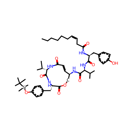 CCCCCC/C=C\CC(=O)N[C@@H](Cc1ccc(O)cc1)C(=O)N[C@H](C(=O)N[C@@H]1/C=C/C(=O)N[C@@H](C(C)C)C(=O)N[C@@H](Cc2ccc(O[Si](C)(C)C(C)(C)C)cc2)C(=O)OC1)C(C)C